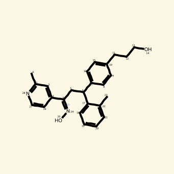 Cc1cc(/C(CC(c2ccc(CCCO)cc2)c2ccccc2C)=N\O)ccn1